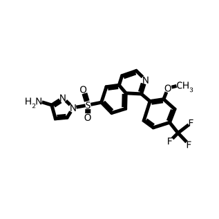 COc1cc(C(F)(F)F)ccc1-c1nccc2cc(S(=O)(=O)n3ccc(N)n3)ccc12